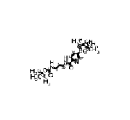 CC(C)(C)OC(=O)NCCCNC(=O)c1ccc(B2OC(C)(C)C(C)(C)O2)cn1